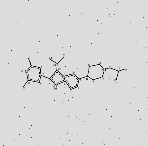 Cc1cc(-c2[nH]c3ccc(C4CCN(CC(C)C)CC4)cc3c2C(C)C)cc(C)n1